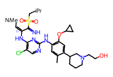 CN/C=C(/Nc1nc(Nc2cc(C)c(C3CCCN(CCO)C3)cc2OC2CC2)ncc1Cl)C(=N)S(=O)(=O)CC(C)C